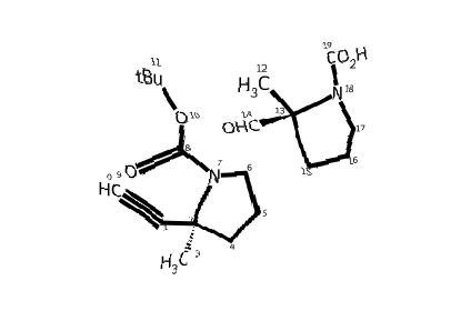 C#C[C@]1(C)CCCN1C(=O)OC(C)(C)C.C[C@@]1(C=O)CCCN1C(=O)O